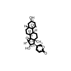 C[C@]12CC[C@H](O)C[C@H]1CC[C@@H]1[C@@H]2CC[C@]2(C)[C@@H](c3ccc(=O)oc3)[C@@H](O)[C@H]3O[C@]132